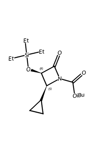 CC[Si](CC)(CC)O[C@H]1C(=O)N(C(=O)OCC(C)C)[C@H]1C1CC1